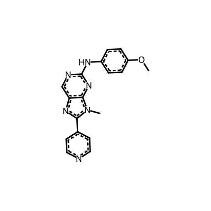 COc1ccc(Nc2ncc3nc(-c4ccncc4)n(C)c3n2)cc1